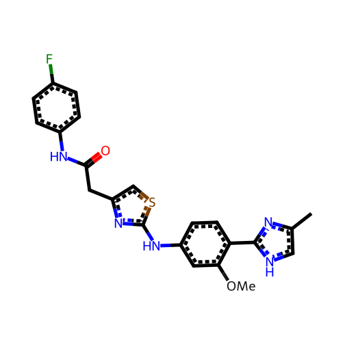 COc1cc(Nc2nc(CC(=O)Nc3ccc(F)cc3)cs2)ccc1-c1nc(C)c[nH]1